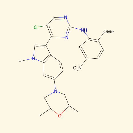 COc1ccc([N+](=O)[O-])cc1Nc1ncc(Cl)c(-c2cn(C)c3cc(N4CC(C)OC(C)C4)ccc23)n1